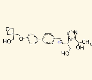 CC(O)c1nccn1C(/C=C/c1ccc(-c2ccc(OCC3(CO)COC3)cc2)cc1)CO